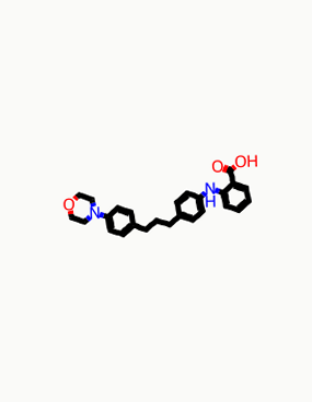 O=C(O)c1ccccc1Nc1ccc(CCCc2ccc(N3CCOCC3)cc2)cc1